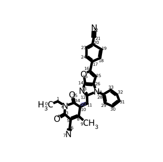 CCN1C(=O)C(C#N)=C(C)/C(=C/c2nc3oc(-c4ccc(C#N)cc4)cc3n2-c2ccccc2)C1=O